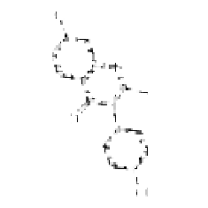 Cc1nc2cc(Cl)ccc2c(=O)n1-c1ccc(O)cc1